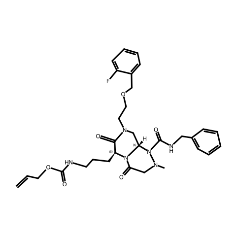 C=CCOC(=O)NCCC[C@H]1C(=O)N(CCOCc2ccccc2F)C[C@H]2N1C(=O)CN(C)N2C(=O)NCc1ccccc1